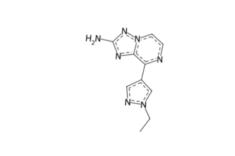 CCn1cc(-c2nccn3nc(N)nc23)cn1